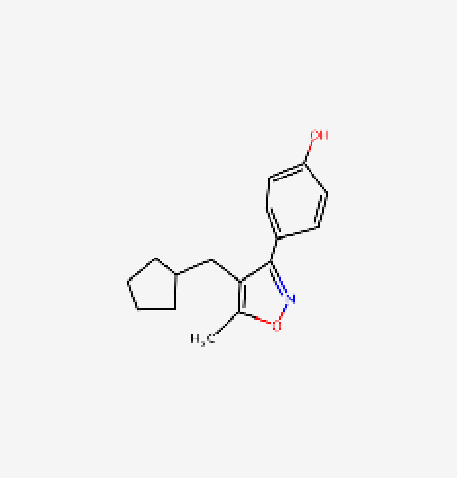 Cc1onc(-c2ccc(O)cc2)c1C[C]1CCCC1